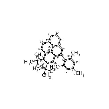 Cc1cc(C)c(-c2cc3cccc4ccc5c(C(C)(C)C)c(C(C)(C)C)cc2c5c43)c(C)c1